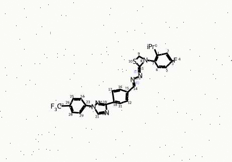 CC(C)c1cc(F)ccc1N1CS/C1=N\N=C\c1ccc(-c2ncn(-c3ccc(C(F)(F)F)cc3)n2)cc1